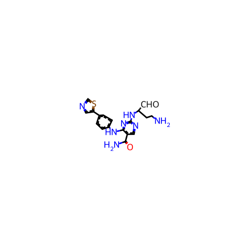 NCCC(C=O)Nc1ncc(C(N)=O)c(Nc2ccc(-c3cncs3)cc2)n1